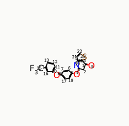 O=C1CC(Oc2ccc(Oc3cccc(C(F)(F)F)c3)cc2)=Nc2ccsc21